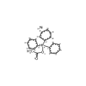 CC(=O)O[PH](c1ccccc1)(c1ccccc1)c1ccccc1.[Ni]